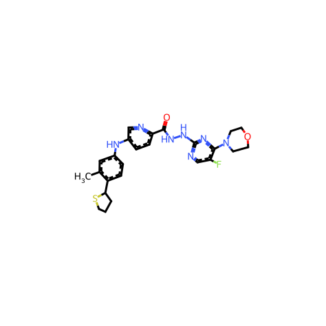 Cc1cc(Nc2ccc(C(=O)NNc3ncc(F)c(N4CCOCC4)n3)nc2)ccc1C1CCCS1